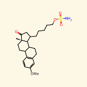 COc1ccc2c(c1)CCC1C2CC[C@]2(C)C(=O)CC(CCCCCOS(N)(=O)=O)C12